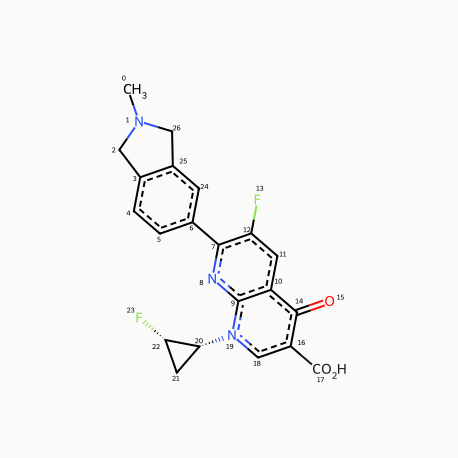 CN1Cc2ccc(-c3nc4c(cc3F)c(=O)c(C(=O)O)cn4[C@@H]3C[C@@H]3F)cc2C1